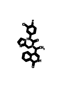 CC(c1c[nH]c(=O)c2ccccc12)N(Cc1nccs1)C(=O)Nc1ccc(F)c(Cl)c1